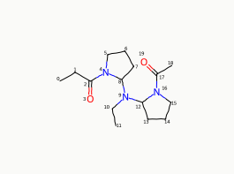 CCC(=O)N1CCCC1N(CC)C1CCCN1C(C)=O